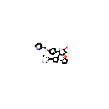 CC(C)c1ccc(C2CCCC2)c(C2=C(O)C(=S)C(=O)OC2c2ccc(OCc3cccnc3)cc2)c1